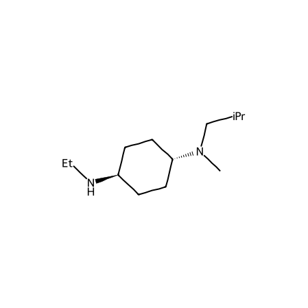 CCN[C@H]1CC[C@H](N(C)CC(C)C)CC1